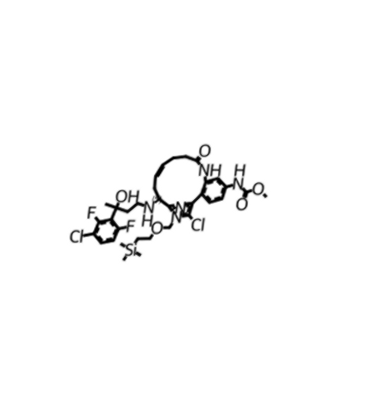 COC(=O)Nc1ccc2c(c1)NC(=O)CCC=CC[C@H](NCCC(C)(O)c1c(F)ccc(Cl)c1F)c1nc-2c(Cl)n1COCC[Si](C)(C)C